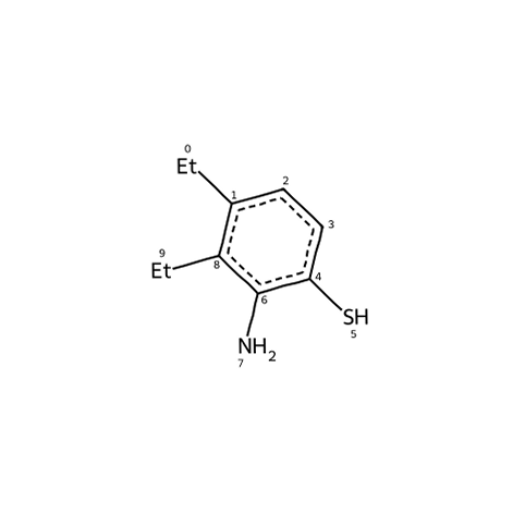 CCc1ccc(S)c(N)c1CC